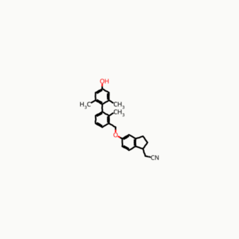 Cc1cc(O)cc(C)c1-c1cccc(COc2ccc3c(c2)CCC3CC#N)c1C